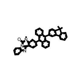 Cn1c(=O)n2c3ccccc3nc2c2ccc(-c3c4ccccc4c(-c4ccc5c(c4)-c4ccccc4C5(C)C)c4ccccc34)cc21